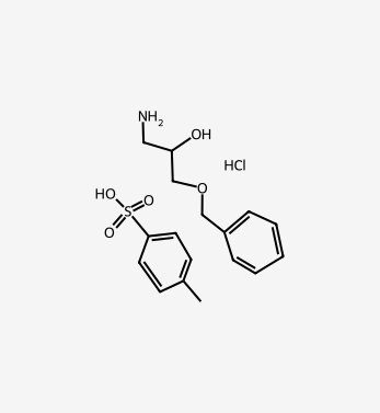 Cc1ccc(S(=O)(=O)O)cc1.Cl.NCC(O)COCc1ccccc1